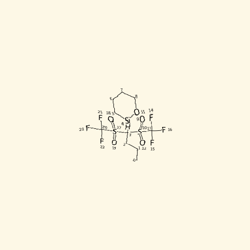 CCCC([SiH]1CCCCO1)(S(=O)(=O)C(F)(F)F)S(=O)(=O)C(F)(F)F